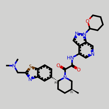 C[C@H]1CC[C@H](c2ccc3sc(CN(C)C)nc3c2)N(C(=O)C(=O)Nc2cncc3c2cnn3C2CCCCO2)C1